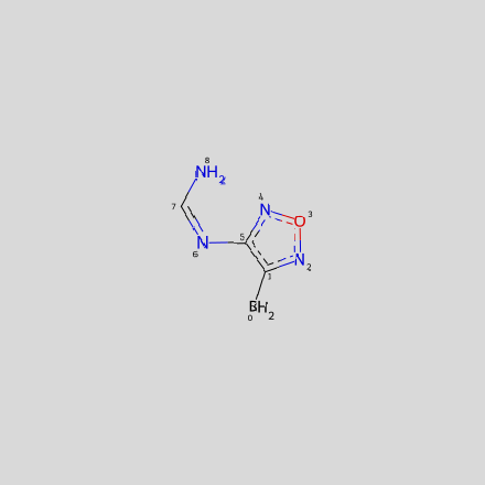 Bc1nonc1/N=C\N